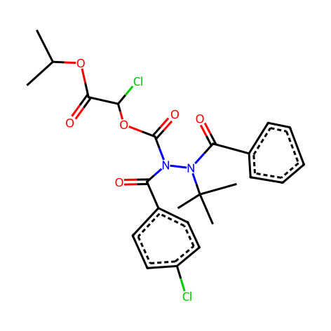 CC(C)OC(=O)C(Cl)OC(=O)N(C(=O)c1ccc(Cl)cc1)N(C(=O)c1ccccc1)C(C)(C)C